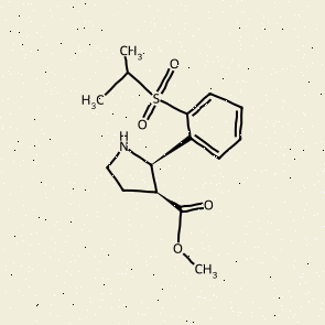 COC(=O)[C@H]1CCN[C@H]1c1ccccc1S(=O)(=O)C(C)C